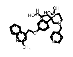 Cc1cc(COc2ccc(C3(CC(=O)NO)CN(Cc4ccncc4)CCS3(O)O)cc2)c2ccccc2n1